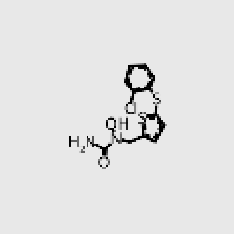 NC(=O)N(O)Cc1ccc(Sc2ccccc2Cl)s1